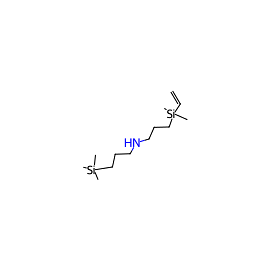 C=C[Si](C)(C)CCCNCCC[Si](C)(C)C